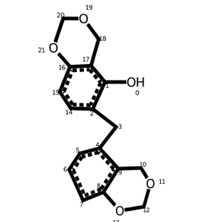 Oc1c(Cc2cccc3c2COCO3)ccc2c1COCO2